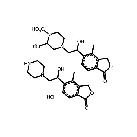 Cc1c(C(O)CN2CCN(C(=O)O)C(C(C)(C)C)C2)ccc2c1COC2=O.Cc1c(C(O)CN2CCNCC2)ccc2c1COC2=O.Cl